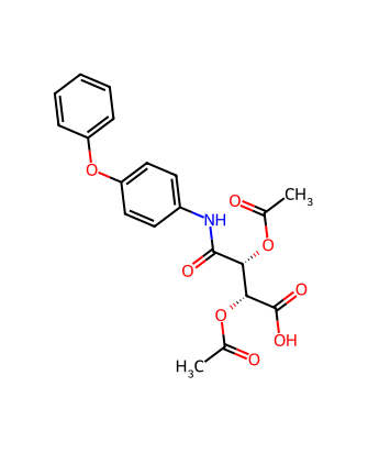 CC(=O)O[C@@H](C(=O)O)[C@@H](OC(C)=O)C(=O)Nc1ccc(Oc2ccccc2)cc1